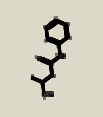 CC(C=O)CC(=O)Nc1ccccc1